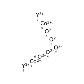 [Co+2].[Co+2].[O-2].[O-2].[O-2].[O-2].[O-2].[Y+3].[Y+3]